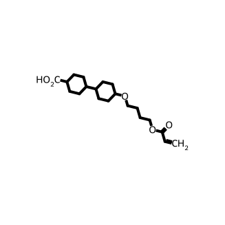 C=CC(=O)OCCCCOC1CCC(C2CCC(C(=O)O)CC2)CC1